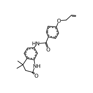 C=CCOc1ccc(C(=O)Nc2ccc3c(c2)NC(=O)CC3(C)C)cc1